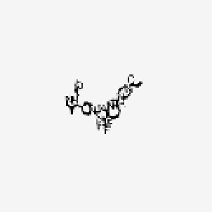 C=CC(=O)N1CCN([C@@H]2CN3c4nc(N5CCC(c6c(C)cnn6CCOC)CC5)nc(C(F)(F)F)c4C=CC[C@@H]23)CC1